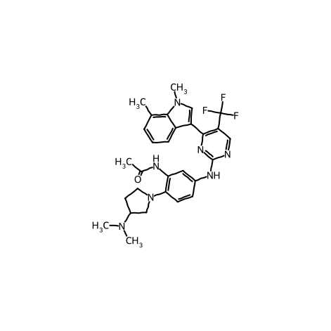 CC(=O)Nc1cc(Nc2ncc(C(F)(F)F)c(-c3cn(C)c4c(C)cccc34)n2)ccc1N1CCC(N(C)C)C1